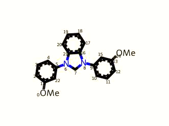 COc1cccc(N2CN(c3cccc(OC)c3)c3ccccc32)c1